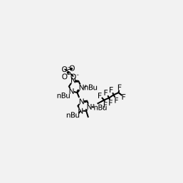 CC(F)(F)C(F)(F)C(F)(F)C(F)F.CCCCN1CN=C[N+](CCCC)=C1C.CCCCN1CN=C[N+](CCCC)=C1C.O=S(=O)([O-])[O-]